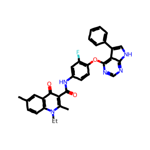 CCn1c(C)c(C(=O)Nc2ccc(Oc3ncnc4[nH]cc(-c5ccccc5)c34)c(F)c2)c(=O)c2cc(C)ccc21